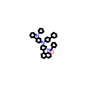 c1ccc(-c2ccc(N(c3ccc(-c4cccc5ccc6oc(-c7ccccc7)nc6c45)cc3)c3ccc4c5ccccc5n(-c5ccccc5)c4c3)cc2)cc1